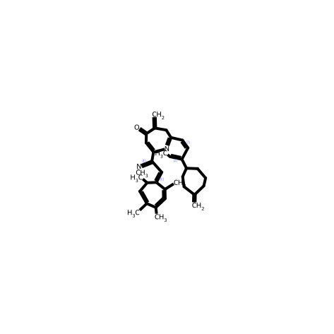 C=C1CCCC(C(/C=C\C2=NC(C(/C=C3/C(C)=C=C(C)C(C)=CC3C)=N/C)=CC(=O)C(=C)C2)=C/C)CC1